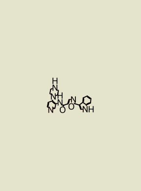 O=C(Nc1cnccc1N1CCNCC1)c1cnc(-c2c[nH]c3ccccc23)o1